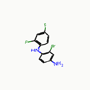 Nc1ccc(Nc2ccc(F)cc2F)c(Br)c1